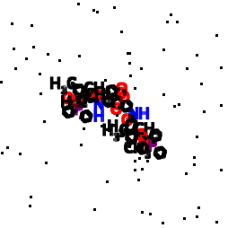 Cc1cc(C)c(C(C)(C)CC(=O)Nc2ccc3c(c2)Oc2cc(NC(=O)CC(C)(C)c4c(C)cc(C)cc4OC(=O)c4ccccc4P(c4ccccc4)c4ccccc4)ccc2C32OCOc3ccccc32)c(OC(=O)c2ccccc2P(c2ccccc2)c2ccccc2)c1